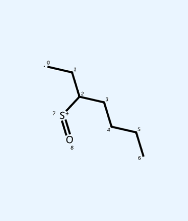 [CH2]CC(CCCC)[S+]=O